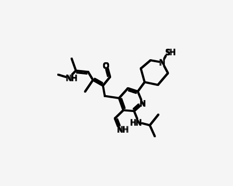 CN/C(C)=C\C(C)=C(/C=O)Cc1cc(C2CCN(S)CC2)nc(NC(C)C)c1C=N